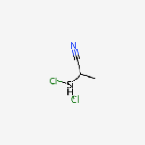 CC(C#N)[SiH](Cl)Cl